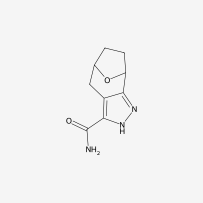 NC(=O)c1[nH]nc2c1CC1CCC2O1